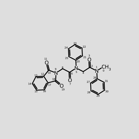 CN(C(=O)CN(C(=O)CN1C(=O)c2ccccc2C1=O)c1ccccc1)c1ccccc1